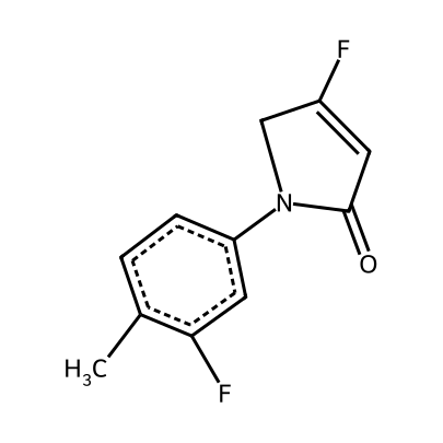 Cc1ccc(N2CC(F)=CC2=O)cc1F